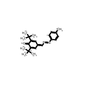 Cc1ccc(N=NC=C2C=C(C(C)(C)C)C(=O)C(C(C)(C)C)=C2)cc1